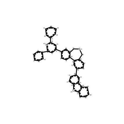 c1ccc(-c2cc(-c3ccc4c(c3)CSCc3ccc(-c5ccc6oc7ccccc7c6c5)cc3-4)cc(-c3ccccc3)n2)cc1